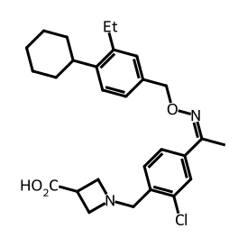 CCc1cc(CON=C(C)c2ccc(CN3CC(C(=O)O)C3)c(Cl)c2)ccc1C1CCCCC1